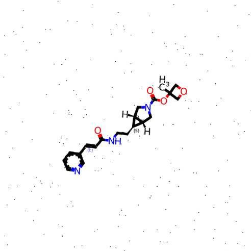 CC1(OC(=O)N2C[C@@H]3[C@@H](CCNC(=O)/C=C/c4cccnc4)[C@@H]3C2)COC1